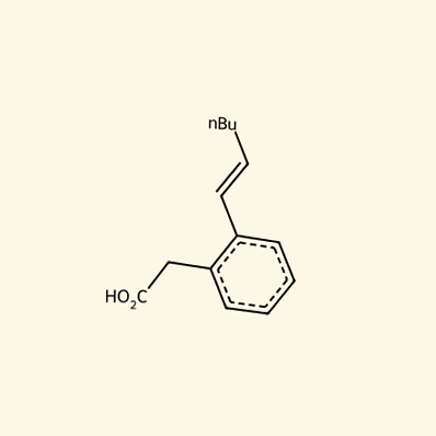 CCCCC=Cc1ccccc1CC(=O)O